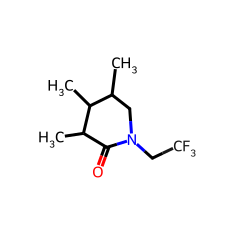 CC1CN(CC(F)(F)F)C(=O)C(C)C1C